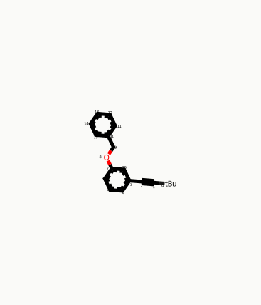 CC(C)(C)C#Cc1cccc(OCc2ccccc2)c1